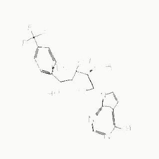 Cc1ncnc2c1ccn2[C@@H]1O[C@H]([C@H](O)c2ccc(C(F)(F)F)cc2)[C@@](C)(O)[C@H]1O